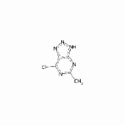 Cc1nc(Cl)c2nn[nH]c2n1